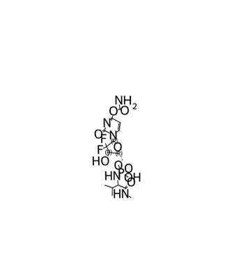 CNC(=O)C(NP(=O)(O)OC[C@H]1O[C@@H](n2ccc(OC(N)=O)nc2=O)C(F)(F)[C@@H]1O)C(C)C